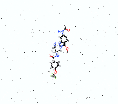 COc1c2ccc(NC(C)=O)cc2nn1CC(C)(C#N)NC(=O)c1ccc(OC(F)(F)F)cc1